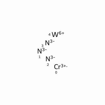 [Cr+3].[N-3].[N-3].[N-3].[W+6]